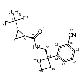 CC(F)(F)[C@H]1C[C@@H]1C(=O)NC[C@@]1(c2cccc(C#N)c2)CCO1